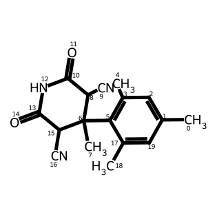 Cc1cc(C)c(C2(C)C(C#N)C(=O)NC(=O)C2C#N)c(C)c1